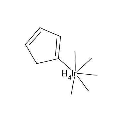 [CH3][IrH4]([CH3])([CH3])([CH3])([CH3])[C]1=CC=CC1